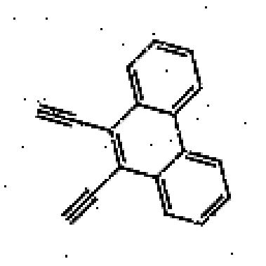 C#Cc1c(C#C)c2ccccc2c2ccccc12